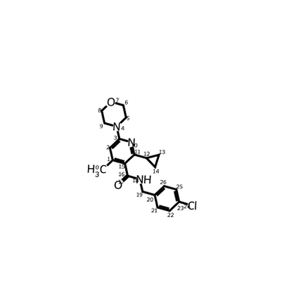 Cc1cc(N2CCOCC2)nc(C2CC2)c1C(=O)NCc1ccc(Cl)cc1